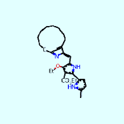 CCOC(=O)c1c(-c2ccc(C)[nH]2)[nH]c(C=C2N=C3C=C2CCCCCCCCC3)c1OCC